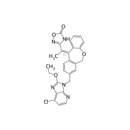 CCOc1nc2c(Cl)ccnc2n1Cc1ccc2c(c1)COc1ccccc1/C2=C(/C)c1noc(=O)[nH]1